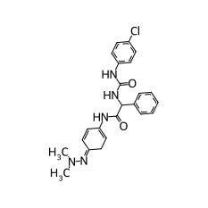 CN(C)N=C1C=CC(NC(=O)C(NC(=O)Nc2ccc(Cl)cc2)c2ccccc2)=CC1